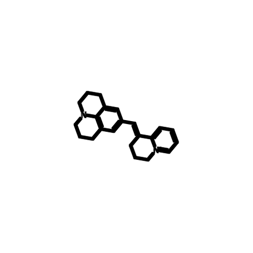 C(=C1CCC[n+]2ccccc21)c1cc2c3c(c1)CCCN3CCC2